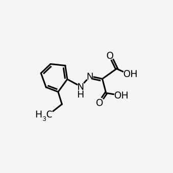 CCc1ccccc1NN=C(C(=O)O)C(=O)O